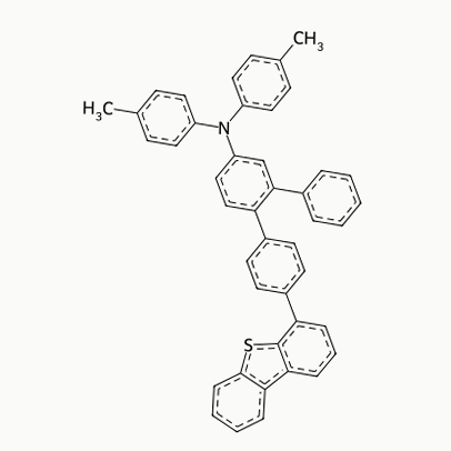 Cc1ccc(N(c2ccc(C)cc2)c2ccc(-c3ccc(-c4cccc5c4sc4ccccc45)cc3)c(-c3ccccc3)c2)cc1